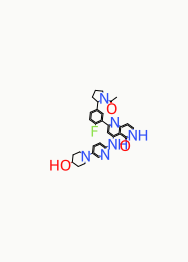 CC(=O)N1CCCC1c1ccc(F)c(-c2cc(Nc3ccc(N4CCC(O)CC4)cn3)c3c(=O)[nH]ccc3n2)c1